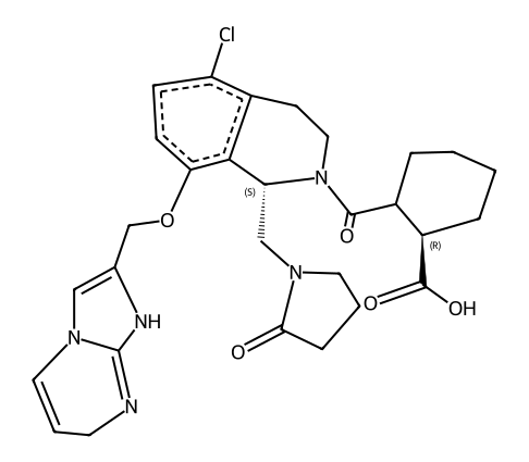 O=C(O)[C@@H]1CCCCC1C(=O)N1CCc2c(Cl)ccc(OCC3=CN4C=CCN=C4N3)c2[C@H]1CN1CCCC1=O